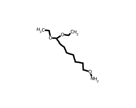 CCOC(CCCCCCCON)OCC